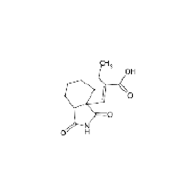 CCC(=CC12CCCCC1C(=O)NC2=O)C(=O)O